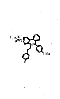 CCCCc1ccc(-c2c3ccccc3c3ccccc3[n+]2CCc2ccc(F)cc2)cc1.O=S(=O)([O-])C(F)(F)F